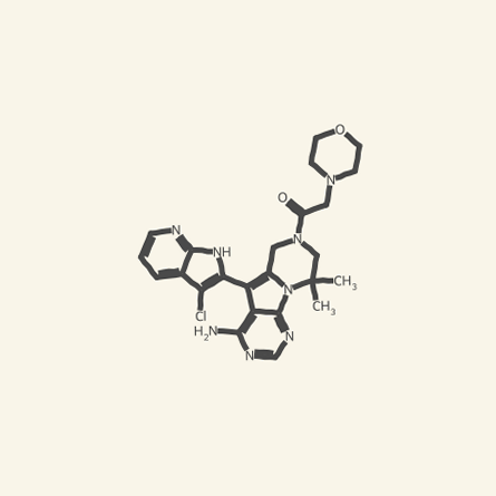 CC1(C)CN(C(=O)CN2CCOCC2)Cc2c(-c3[nH]c4ncccc4c3Cl)c3c(N)ncnc3n21